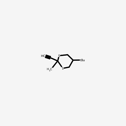 C#CC1(C)SCC(C(C)(C)C)CS1